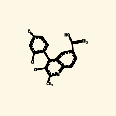 C=C(O)c1ccc2nc(C)c(Cl)c(-c3ccc(F)cc3Cl)c2c1